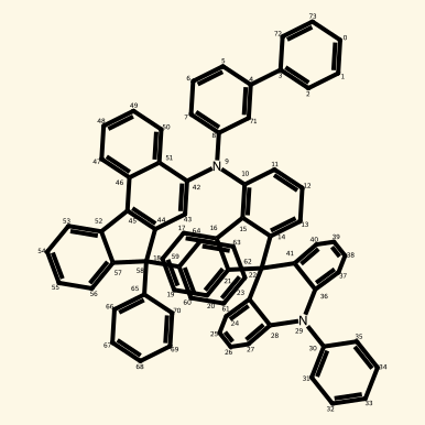 c1ccc(-c2cccc(N(c3cccc4c3-c3ccccc3C43c4ccccc4N(c4ccccc4)c4ccccc43)c3cc4c(c5ccccc35)-c3ccccc3C4(c3ccccc3)c3ccccc3)c2)cc1